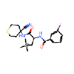 C[Si](C)(C)CC(NC(=O)c1cccc(I)c1)C(=O)NC1(C#N)CCSCC1